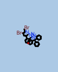 BrCc1ncc(-c2ccccc2-c2nnnn2C(c2ccccc2)(c2ccccc2)c2ccccc2)cc1Br